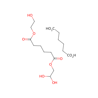 O=C(CCCCC(=O)OCC(O)O)OCCO.O=C(O)CCCCC(=O)O